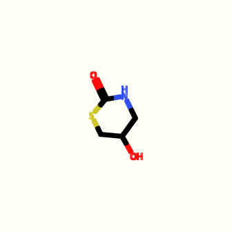 O=C1NCC(O)CS1